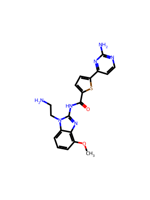 COc1cccc2c1nc(NC(=O)c1ccc(-c3ccnc(N)n3)s1)n2CCN